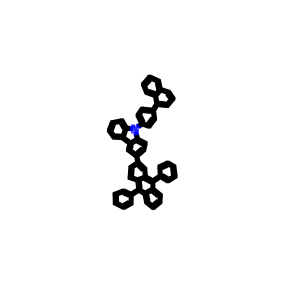 c1ccc(-c2c3ccccc3c(-c3ccccc3)c3cc(-c4ccc5c(c4)c4ccccc4n5-c4ccc(-c5cccc6ccccc56)cc4)ccc23)cc1